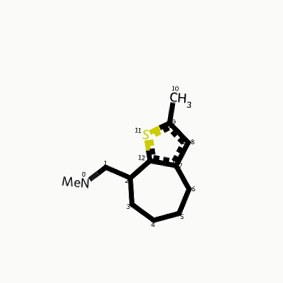 CNCC1CCCCc2cc(C)sc21